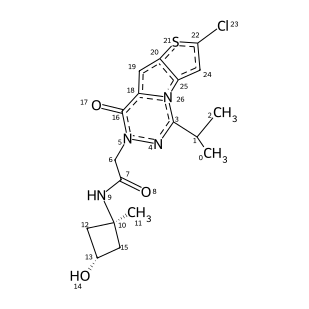 CC(C)c1nn(CC(=O)N[C@]2(C)C[C@@H](O)C2)c(=O)c2cc3sc(Cl)cc3n12